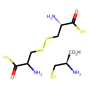 NC(CSSC[C@H](N)C(=O)S)C(=O)S.N[C@@H](CS)C(=O)O